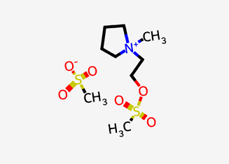 CS(=O)(=O)[O-].C[N+]1(CCOS(C)(=O)=O)CCCC1